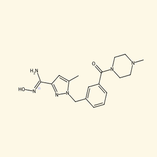 Cc1cc(/C(N)=N/O)nn1Cc1cccc(C(=O)N2CCN(C)CC2)c1